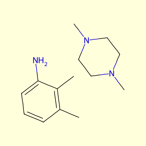 CN1CCN(C)CC1.Cc1cccc(N)c1C